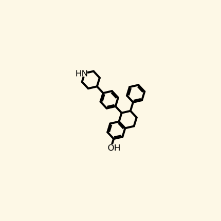 Oc1ccc2c(c1)CCC(c1ccccc1)C2c1ccc(C2CCNCC2)cc1